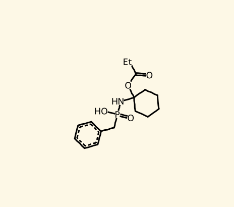 CCC(=O)OC1(NP(=O)(O)Cc2ccccc2)CCCCC1